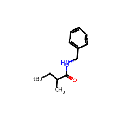 CC(CC(C)(C)C)C(=O)NCc1ccccc1